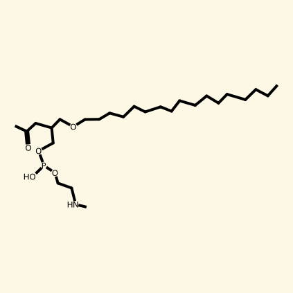 CCCCCCCCCCCCCCCCCOCC(COP(O)OCCNC)CC(C)=O